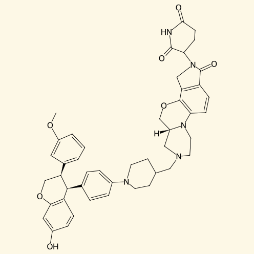 COc1cccc([C@@H]2COc3cc(O)ccc3[C@@H]2c2ccc(N3CCC(CN4CCN5c6ccc7c(c6OC[C@H]5C4)CN(C4CCC(=O)NC4=O)C7=O)CC3)cc2)c1